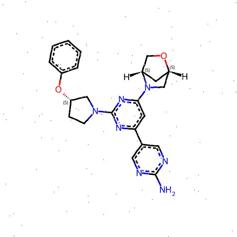 Nc1ncc(-c2cc(N3C[C@@H]4C[C@H]3CO4)nc(N3CC[C@H](Oc4ccccc4)C3)n2)cn1